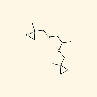 CC(COCC1(C)CO1)OCC1(C)CO1